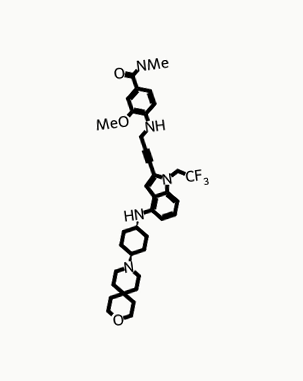 CNC(=O)c1ccc(NCC#Cc2cc3c(N[C@H]4CC[C@H](N5CCC6(CCOCC6)CC5)CC4)cccc3n2CC(F)(F)F)c(OC)c1